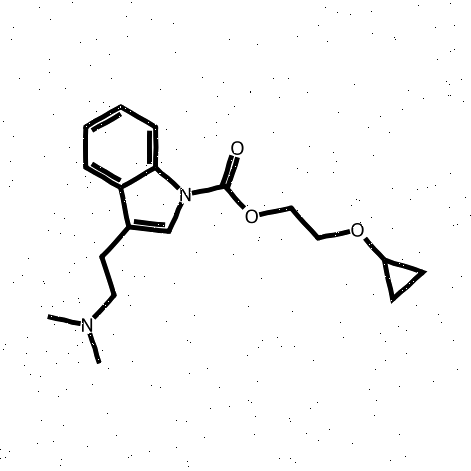 CN(C)CCc1cn(C(=O)OCCOC2CC2)c2ccccc12